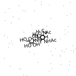 CC(=O)Nc1c(I)c(C(=O)N[C@H]2C(C)O[C@H](CO)[C@@H](O)[C@@H]2O)c(C)c(N(C)C(C)=O)c1I